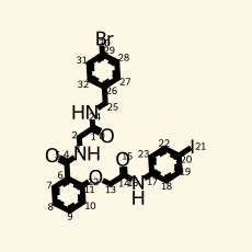 O=C(CNC(=O)c1ccccc1OCC(=O)Nc1ccc(I)cc1)NCc1ccc(Br)cc1